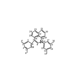 Cc1cc(C)cc(C2=CN(c3cc(C)cc(C)c3)c3cccc4cccc2c34)c1